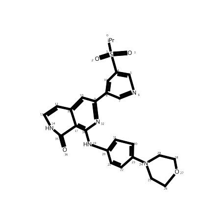 CC(C)S(=O)(=O)c1cncc(-c2cc3cc[nH]c(=O)c3c(Nc3ccc(N4CCOCC4)cc3)n2)c1